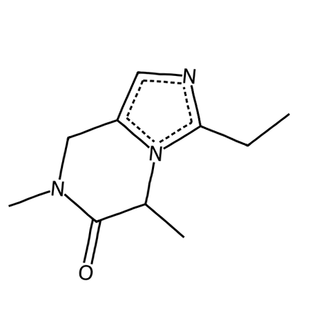 CCc1ncc2n1C(C)C(=O)N(C)C2